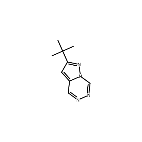 CC(C)(C)c1cc2cnncn2n1